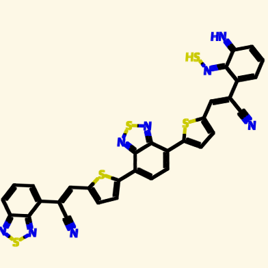 N#C/C(=C\c1ccc(-c2ccc(-c3ccc(/C=C(\C#N)c4cccc5nsnc45)s3)c3nsnc23)s1)C1=CC=CC(=N)/C1=N\S